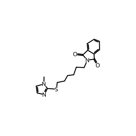 Cn1ccnc1SCCCCCCN1C(=O)c2ccccc2C1=O